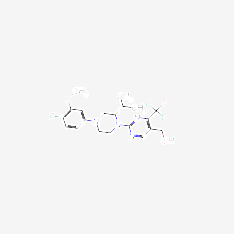 CSc1cc(N2CCN(c3ncc(CO)c(C(F)(F)F)n3)C(C(C)C)C2)ccc1F